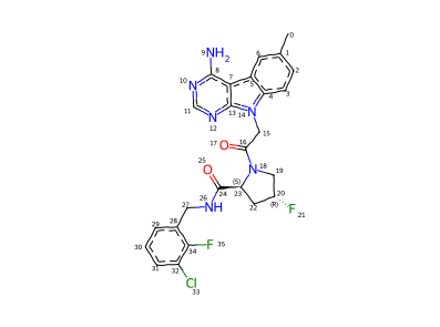 Cc1ccc2c(c1)c1c(N)ncnc1n2CC(=O)N1C[C@H](F)C[C@H]1C(=O)NCc1cccc(Cl)c1F